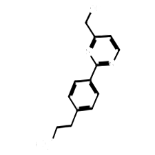 O=C(O)CCc1ccc(-c2nccc(CO)n2)cc1